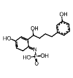 O=P(O)(O)N=C1CC=C(O)C=C1C(O)CCCc1cccc(O)c1